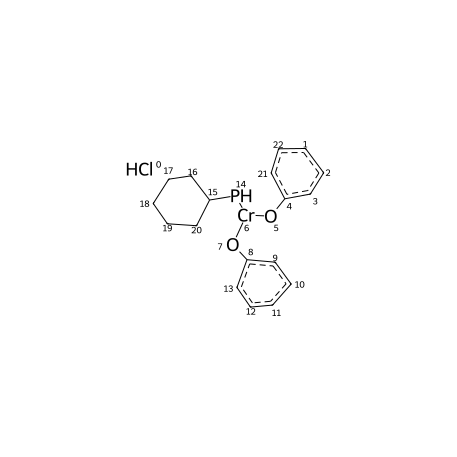 Cl.c1ccc([O][Cr]([O]c2ccccc2)[PH]C2CCCCC2)cc1